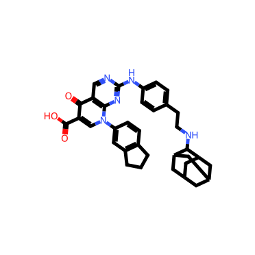 O=C(O)c1cn(-c2ccc3c(c2)CCC3)c2nc(Nc3ccc(CCNC4C5CC6CC(C5)CC4C6)cc3)ncc2c1=O